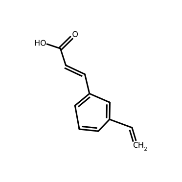 C=Cc1cccc(/C=C/C(=O)O)c1